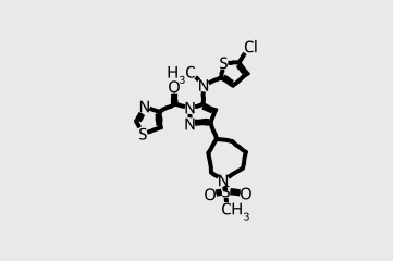 CN(c1ccc(Cl)s1)c1cc(C2CCCN(S(C)(=O)=O)CC2)nn1C(=O)c1cscn1